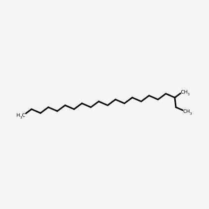 CCCCCCCCCCCCCCCCCC[C](C)CC